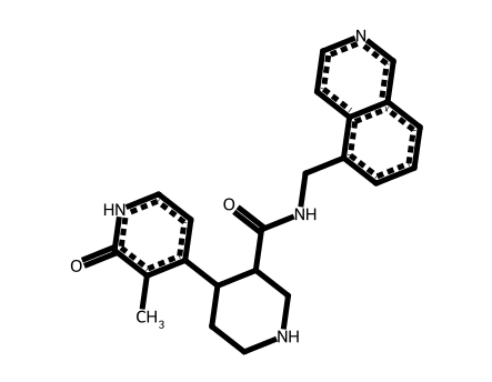 Cc1c(C2CCNCC2C(=O)NCc2cccc3cnccc23)cc[nH]c1=O